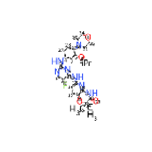 CC(C)Oc1cc(Nc2ncc(F)c(Nc3ccc4c(n3)NC(=O)C(C)(C)O4)n2)ccc1N1CCOCC1